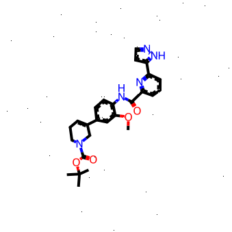 COc1cc(C2=CCCN(C(=O)OC(C)(C)C)C2)ccc1NC(=O)c1cccc(-c2ccn[nH]2)n1